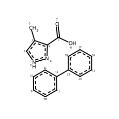 Cc1c[nH]nc1C(=O)O.c1ccc(-c2ccccc2)cc1